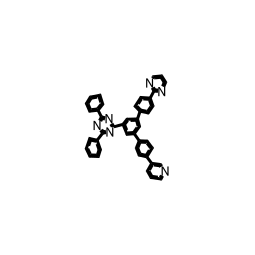 c1ccc(-c2nc(-c3ccccc3)nc(-c3cc(-c4ccc(-c5cccnc5)cc4)cc(-c4ccc(-c5ncccn5)cc4)c3)n2)cc1